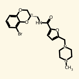 CN1CCN(Cc2ccc(C(=O)NC[C@H]3COc4cccc(Br)c4O3)o2)CC1